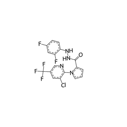 O=C(NNc1ccc(F)cc1F)c1cccn1-c1ncc(C(F)(F)F)cc1Cl